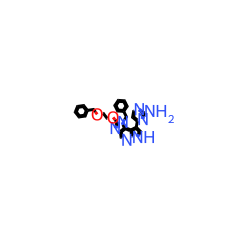 Nc1nccc(-c2c[nH]c3ncc4nc(OCCOCc5ccccc5)n(Cc5ccccc5)c4c23)n1